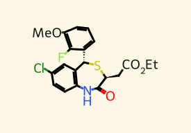 CCOC(=O)C[C@@H]1S[C@@H](c2cccc(OC)c2F)c2cc(Cl)ccc2NC1=O